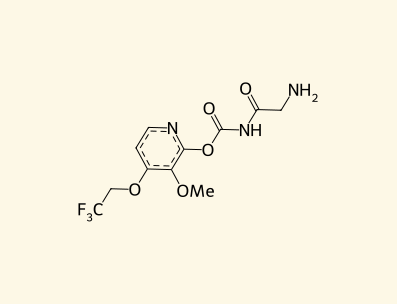 COc1c(OCC(F)(F)F)ccnc1OC(=O)NC(=O)CN